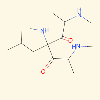 CNC(C)C(=O)C(CC(C)C)(NC)C(=O)C(C)NC